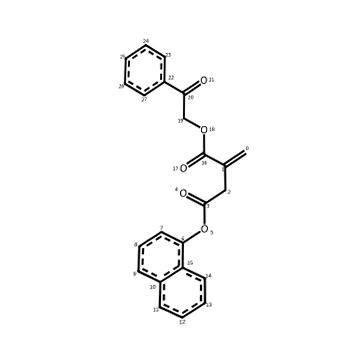 C=C(CC(=O)Oc1cccc2ccccc12)C(=O)OCC(=O)c1ccccc1